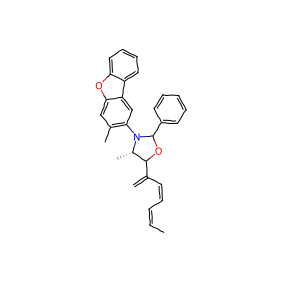 C=C(/C=C\C=C/C)C1OC(c2ccccc2)N(c2cc3c(cc2C)oc2ccccc23)[C@H]1C